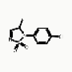 CC1C=NS(=O)(=O)N1c1ccc(Cl)cc1